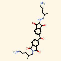 CC(CCCN)CNC1C(=O)c2ccc(C(=O)c3ccc4c(c3)C(=O)N(CC(C)CCCN)C4=O)cc2C1=O